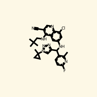 Cc1nc(F)ccc1C(Nc1cc(Cl)c2ncc(C#N)c(NCC(C)(C)C)c2c1)c1cn(C2(C)CC2)nn1